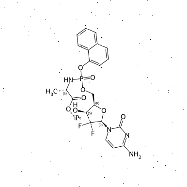 CC(C)OC(=O)[C@H](C)NP(=O)(OC[C@H]1O[C@@H](n2ccc(N)nc2=O)C(F)(F)[C@H]1O)Oc1cccc2ccccc12